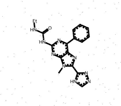 CCNC(=O)Nc1nc(-c2ccccc2)c2nc(-c3nnc[nH]3)n(C)c2n1